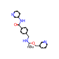 CCCCC(NCc1ccc(C(=O)Nc2cccnc2)cc1)OCc1cccnc1